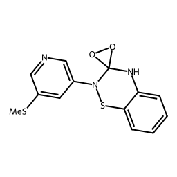 CSc1cncc(N2Sc3ccccc3NC23OO3)c1